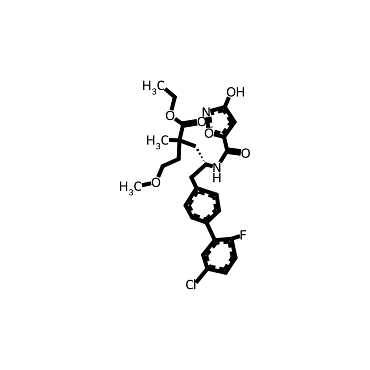 CCOC(=O)C(C)(CCOC)C[C@@H](Cc1ccc(-c2cc(Cl)ccc2F)cc1)NC(=O)c1cc(O)no1